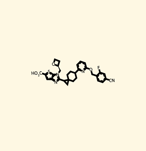 N#Cc1ccc(COc2cccc(C3CCC4(CC3)CC4c3nc4cc(C(=O)O)sc4n3C[C@@H]3CCO3)n2)c(F)c1